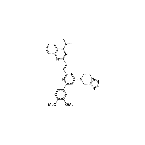 COc1ccc(-c2cc(N3CCn4ccnc4C3)nc(C=Cc3nc(N(C)C)c4ccccc4n3)n2)cc1OC